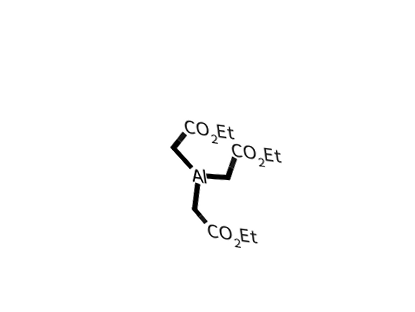 CCOC(=O)[CH2][Al]([CH2]C(=O)OCC)[CH2]C(=O)OCC